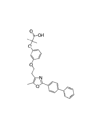 Cc1oc(-c2ccc(-c3ccccc3)cc2)nc1CCOc1cccc(OC(C)(C)C(=O)O)c1